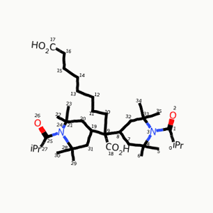 CC(C)C(=O)N1C(C)(C)CC(C(CCCCCCCC(=O)O)(C(=O)O)C2CC(C)(C)N(C(=O)C(C)C)C(C)(C)C2)CC1(C)C